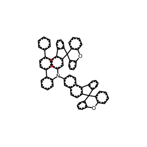 c1ccc(-c2ccc(-c3ccccc3N(c3ccc4c(c3)C3(c5ccccc5Oc5ccccc53)c3ccccc3-4)c3ccc4c5c(ccc4c3)C3(c4ccccc4Oc4ccccc43)c3ccccc3-5)cc2)cc1